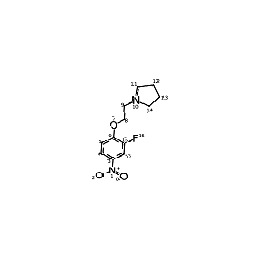 O=[N+]([O-])c1ccc(OCCN2CCCC2)c(F)c1